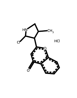 CC1CNC(Cl)C1c1cc(=O)c2ccccc2o1.Cl